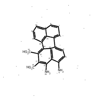 Nc1ccc2c3cccc4cccc(c5c(C(=O)O)c(C(=O)O)c(N)c1c25)c43